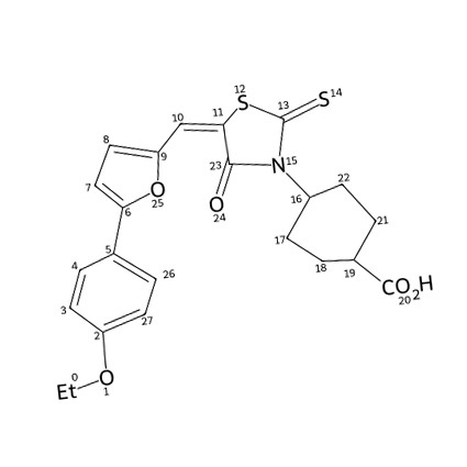 CCOc1ccc(-c2ccc(C=C3SC(=S)N(C4CCC(C(=O)O)CC4)C3=O)o2)cc1